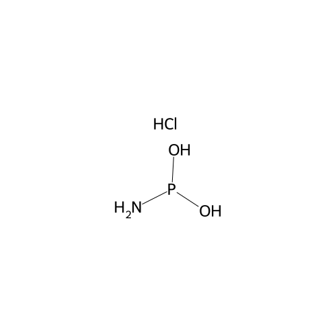 Cl.NP(O)O